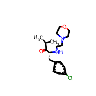 CC(C)C(=O)[C@@H](Cc1ccc(Cl)cc1)NCCN1CCOCC1